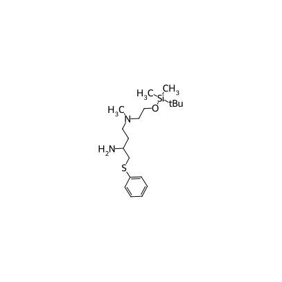 CN(CCO[Si](C)(C)C(C)(C)C)CCC(N)CSc1ccccc1